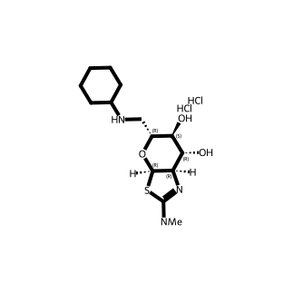 CNC1=N[C@@H]2[C@@H](O)[C@H](O)[C@@H](CNC3CCCCC3)O[C@@H]2S1.Cl.Cl